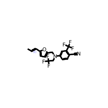 C/C=C/c1ccc(CN(CC(F)(F)F)c2ccc(C#N)c(C(F)(F)F)c2)o1